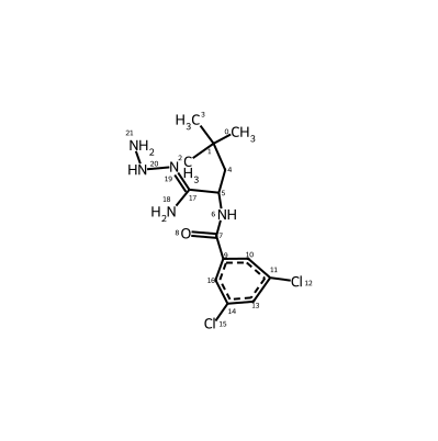 CC(C)(C)CC(NC(=O)c1cc(Cl)cc(Cl)c1)/C(N)=N/NN